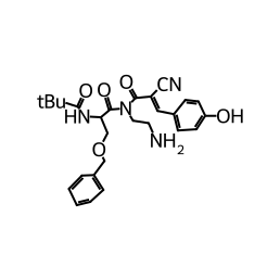 CC(C)(C)C(=O)NC(COCc1ccccc1)C(=O)N(CCN)C(=O)C(C#N)=Cc1ccc(O)cc1